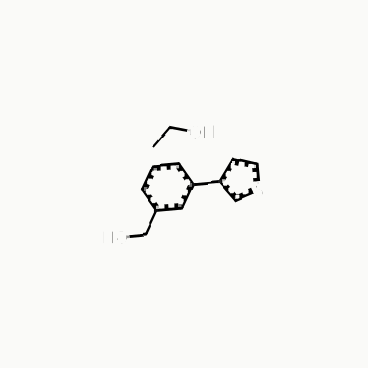 CCO.OCc1cccc(-c2ccsc2)c1